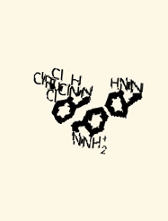 C1=N[NH2+]c2ccccc21.[Cl][Ru-]([Cl])([Cl])[Cl].c1ccc2[nH]ncc2c1.c1ccc2[nH]ncc2c1